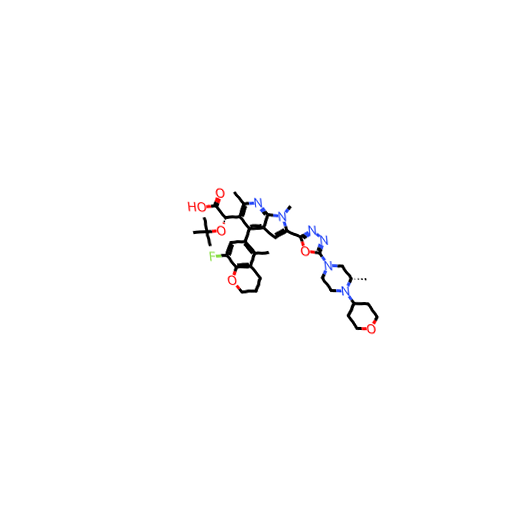 Cc1nc2c(cc(-c3nnc(N4CCN(C5CCOCC5)[C@@H](C)C4)o3)n2C)c(-c2cc(F)c3c(c2C)CCCO3)c1[C@H](OC(C)(C)C)C(=O)O